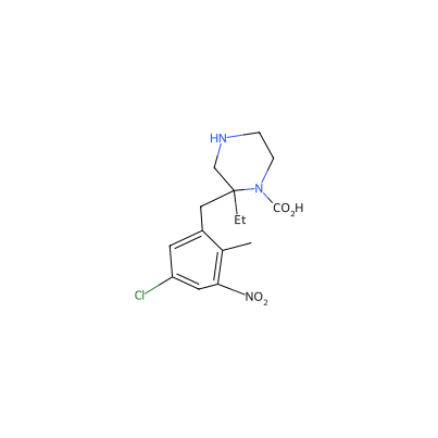 CCC1(Cc2cc(Cl)cc([N+](=O)[O-])c2C)CNCCN1C(=O)O